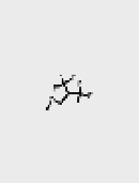 COCC(C(F)(F)F)C(F)(F)F